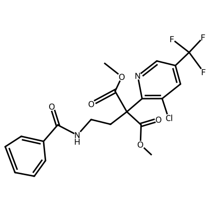 COC(=O)C(CCNC(=O)c1ccccc1)(C(=O)OC)c1ncc(C(F)(F)F)cc1Cl